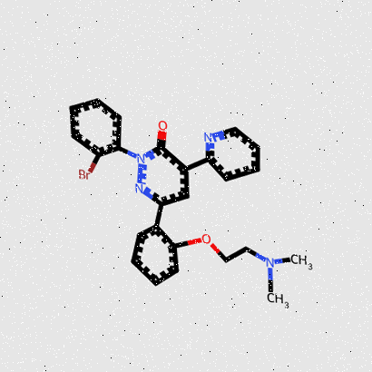 CN(C)CCOc1ccccc1-c1cc(-c2ccccn2)c(=O)n(-c2ccccc2Br)n1